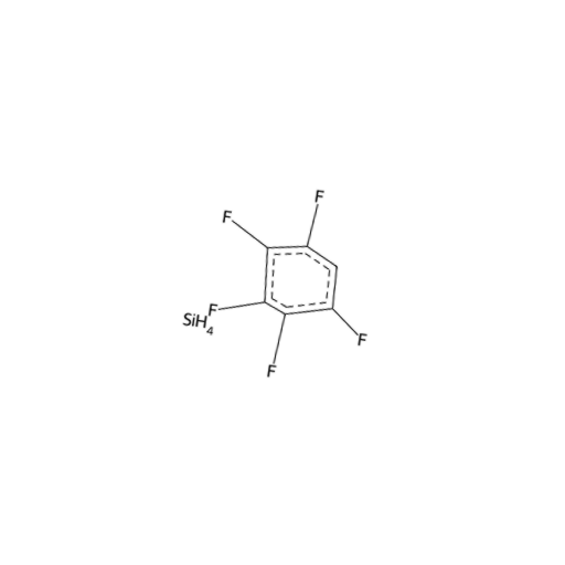 Fc1cc(F)c(F)c(F)c1F.[SiH4]